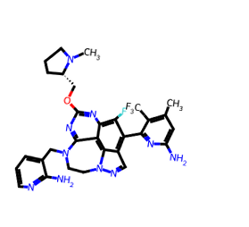 Cc1cc(N)nc(-c2c(F)c3nc(OC[C@@H]4CCCN4C)nc4c3c3c2cnn3CCN4Cc2cccnc2N)c1C(F)(F)F